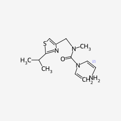 C=CN(/C=C\N)C(=O)N(C)Cc1csc(C(C)C)n1